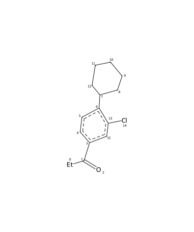 CCC(=O)c1ccc(C2CCCCC2)c(Cl)c1